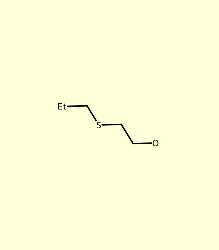 CCCSCC[O]